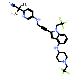 CC(C)(C#N)c1ccc(NCC#Cc2cc3c(NC4CCN(CC(F)(F)F)CC4)cccc3n2CC(F)(F)F)cn1